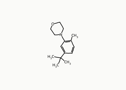 Cc1ccc(C(C)(C)C)cc1N1CCOCC1